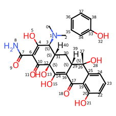 CN(C)[C@@H]1C(O)=C(C(N)=O)C(=O)[C@@]2(O)C(O)=C3C(=O)c4c(O)cccc4[C@@](C)(O)[C@H]3C[C@@H]12.Oc1ccccc1